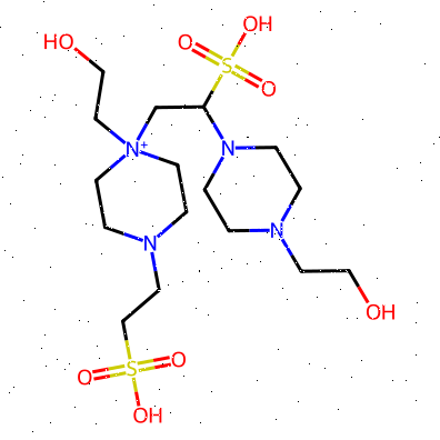 O=S(=O)(O)CCN1CC[N+](CCO)(CC(N2CCN(CCO)CC2)S(=O)(=O)O)CC1